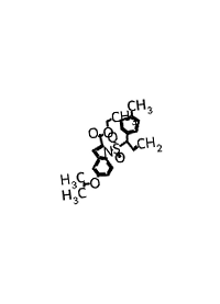 C=CC(c1ccc(C)cc1)S(=O)(=O)n1c(C(=O)OCC)cc2cc(OC(C)C)ccc21